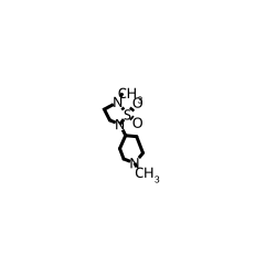 CN1CCC(N2CCN(C)S2(=O)=O)CC1